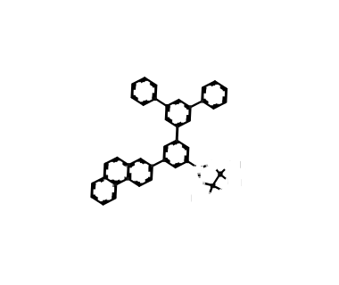 CC1(C)OB(c2cc(-c3cc(-c4ccccc4)cc(-c4ccccc4)c3)cc(-c3ccc4c(ccc5ccccc54)c3)c2)OC1(C)C